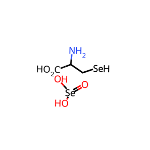 NC(C[SeH])C(=O)O.O=[Se](O)O